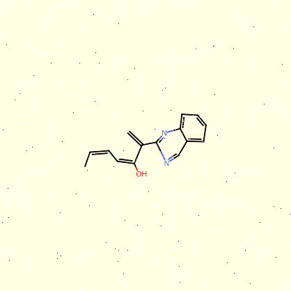 C=C(/C(O)=C\C=C/C)c1ncc2ccccc2n1